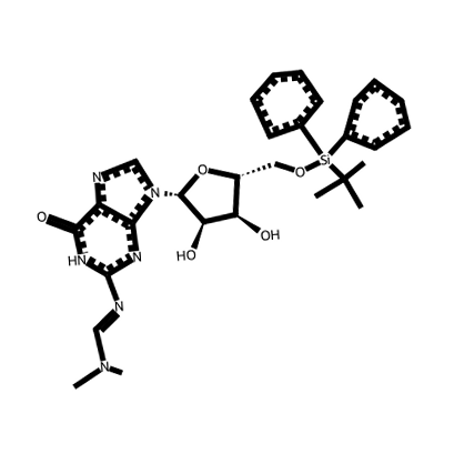 CN(C)/C=N/c1nc2c(ncn2[C@@H]2O[C@H](CO[Si](c3ccccc3)(c3ccccc3)C(C)(C)C)[C@@H](O)[C@H]2O)c(=O)[nH]1